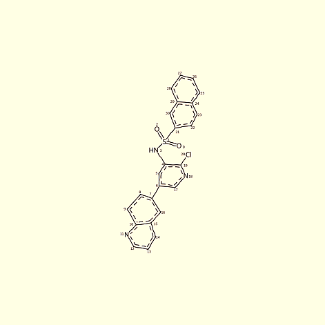 O=S(=O)(Nc1cc(-c2ccc3ncccc3c2)cnc1Cl)c1ccc2ccccc2c1